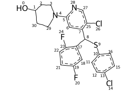 OC1CCN(c2cc(C(Sc3ccc(Cl)cc3)c3cc(F)ccc3F)c(Cl)cn2)CC1